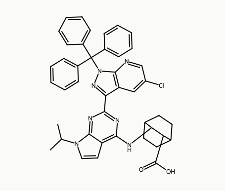 CC(C)n1ccc2c(NC3C4CCC(CC4)C3C(=O)O)nc(-c3nn(C(c4ccccc4)(c4ccccc4)c4ccccc4)c4ncc(Cl)cc34)nc21